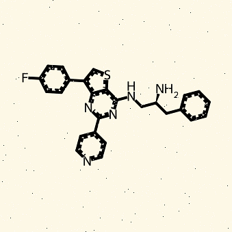 N[C@H](CNc1nc(-c2ccncc2)nc2c(-c3ccc(F)cc3)csc12)Cc1ccccc1